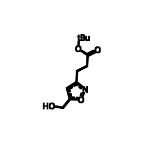 CC(C)(C)OC(=O)CCc1cc(CO)on1